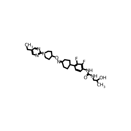 CCc1cnc(N2CCC(ON=C3CCC(c4ccc(NC(=O)NCC(C)O)c(F)c4F)CC3)CC2)nc1